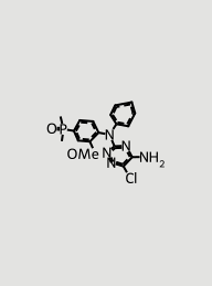 COc1cc(P(C)(C)=O)ccc1N(c1ccccc1)c1nnc(Cl)c(N)n1